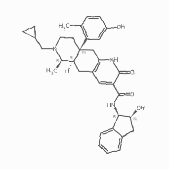 Cc1ccc(O)cc1[C@]12CCN(CC3CC3)[C@H](C)[C@@H]1Cc1cc(C(=O)N[C@@H]3c4ccccc4C[C@@H]3O)c(=O)[nH]c1C2